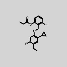 CCC(=O)Oc1cccc(Cl)c1COc1cc(F)c(CC)cc1C1CC1